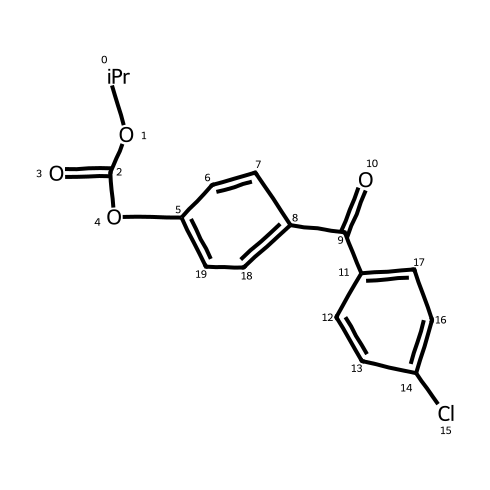 CC(C)OC(=O)Oc1ccc(C(=O)c2ccc(Cl)cc2)cc1